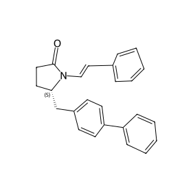 O=C1CC[C@@H](Cc2ccc(-c3ccccc3)cc2)N1C=Cc1ccccc1